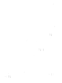 CCc1cc(CN)ccc1NC(=O)c1cc(C2CC2)on1